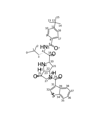 CC(C)C[C@H](NC(=O)c1ccc(C(C)(C)C)cc1)C(=O)C1C[C@@H]2[C@H](N1)C(=O)CN2C(=O)c1csc2ccccc12